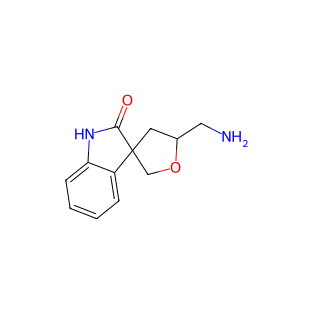 NCC1CC2(CO1)C(=O)Nc1ccccc12